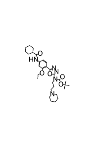 CCOc1cc(NC(=O)C2CCCCC2)ccc1-c1nnc(N(CCCN2CCCCC2)C(=O)OC(C)(C)C)o1